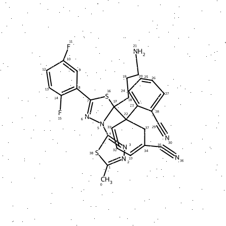 Cc1nnc(N2N=C(c3cc(F)ccc3F)SC2(CCCN)C2(c3ccccc3C#N)C=CC=C(C#N)C2)s1